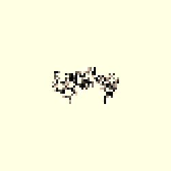 Fc1ccc2cccc(-c3ncc4cnc(OC[C@@]56CCCN5C[C@H](F)C6)nc4c3F)c2c1Cl